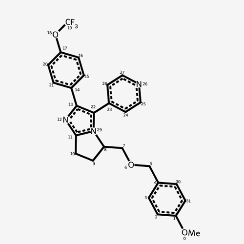 COc1ccc(COCC2CCc3nc(-c4ccc(OC(F)(F)F)cc4)c(-c4ccncc4)n32)cc1